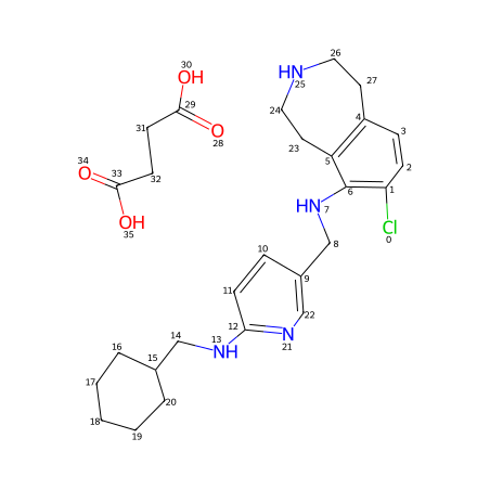 Clc1ccc2c(c1NCc1ccc(NCC3CCCCC3)nc1)CCNCC2.O=C(O)CCC(=O)O